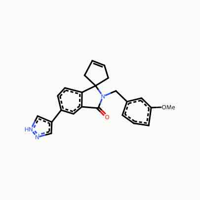 COc1cccc(CN2C(=O)c3cc(-c4cn[nH]c4)ccc3C23CC=CC3)c1